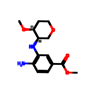 COC(=O)c1ccc(N)c(N[C@@H]2COCC[C@@H]2OC)c1